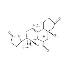 C[C@]12CC(=O)CC[C@]1(C)C1=CC[C@@]3(C)[C@@H](CC[C@@]34CCC(=O)O4)[C@@H]1[C@H](C=O)C2